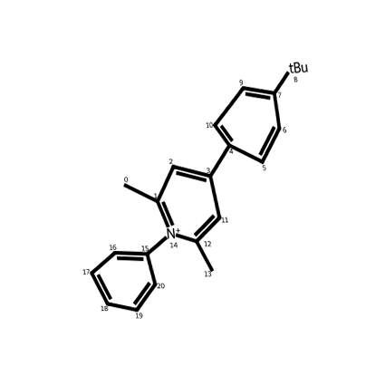 Cc1cc(-c2ccc(C(C)(C)C)cc2)cc(C)[n+]1-c1ccccc1